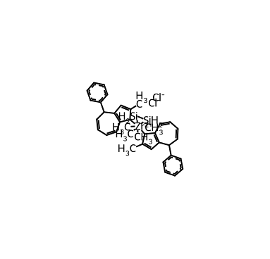 CC1=CC2=C(C=CC=CC2c2ccccc2)[CH]1[Zr+2]1([CH3])([CH3])([CH3])([CH3])([CH]2C(C)=CC3=C2C=CC=CC3c2ccccc2)[SiH2][SiH2]1.[Cl-].[Cl-]